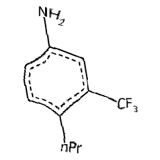 CCCc1ccc(N)cc1C(F)(F)F